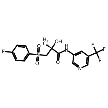 C[C@](O)(CS(=O)(=O)c1ccc(F)cc1)C(=O)Nc1cncc(C(F)(F)F)c1